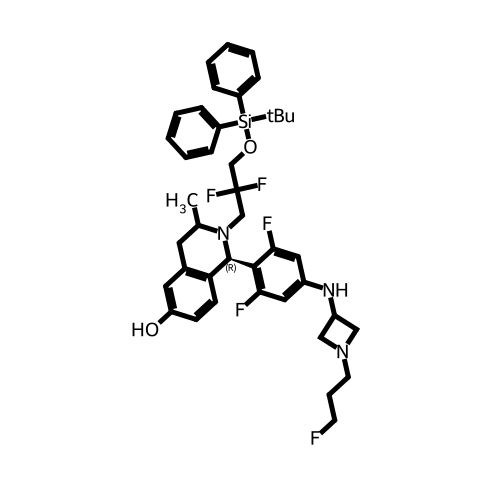 CC1Cc2cc(O)ccc2[C@H](c2c(F)cc(NC3CN(CCCF)C3)cc2F)N1CC(F)(F)CO[Si](c1ccccc1)(c1ccccc1)C(C)(C)C